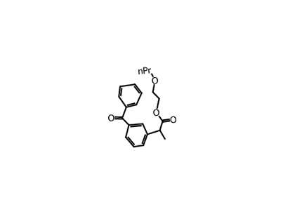 CCCOCCOC(=O)C(C)c1cccc(C(=O)c2ccccc2)c1